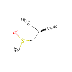 CC(=O)N[C@@H](C[S+]([O-])C(C)C)C(=O)O